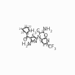 CC(C(N)=O)N(c1ccc(C(F)(F)F)nc1)c1nc(N)c(C(=O)c2ccccc2)s1